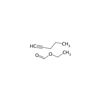 C#CCCC.CCOC=O